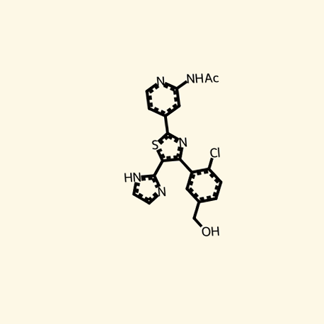 CC(=O)Nc1cc(-c2nc(-c3cc(CO)ccc3Cl)c(-c3ncc[nH]3)s2)ccn1